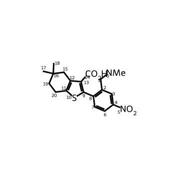 CNCc1cc([N+](=O)[O-])ccc1-c1sc2c(c1C(=O)O)CC(C)(C)CC2